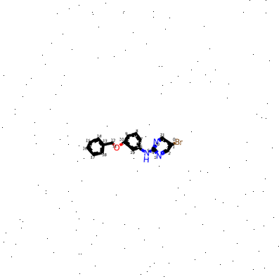 Brc1cnc(Nc2cccc(OCc3ccccc3)c2)nc1